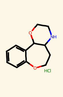 Cl.c1ccc2c(c1)OCCC1NCCOC21